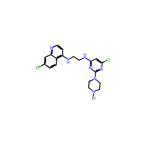 CCN1CCN(c2nc(Cl)cc(NCCNc3ccnc4cc(Cl)ccc34)n2)CC1